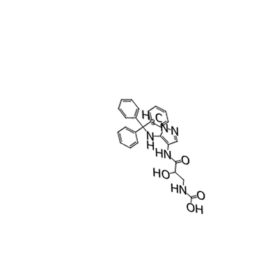 Cn1ncc(NC(=O)C(O)CNC(=O)O)c1NC(c1ccccc1)(c1ccccc1)c1ccccc1